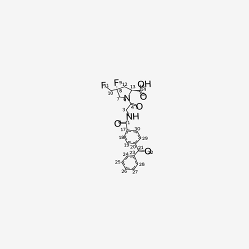 O=C(NCC(=O)N1C[C@@](F)(CF)C[C@H]1C(=O)O)c1ccc(C(=O)c2ccccc2)cc1